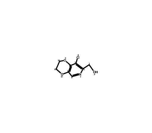 OCc1ncc2c(c1Cl)OCCO2